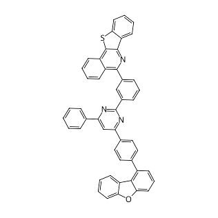 c1ccc(-c2cc(-c3ccc(-c4cccc5oc6ccccc6c45)cc3)nc(-c3cccc(-c4nc5c6ccccc6sc5c5ccccc45)c3)n2)cc1